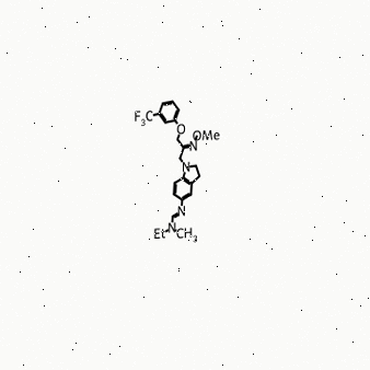 CCN(C)C=Nc1ccc2c(c1)CCN2CC(COc1cccc(C(F)(F)F)c1)=NOC